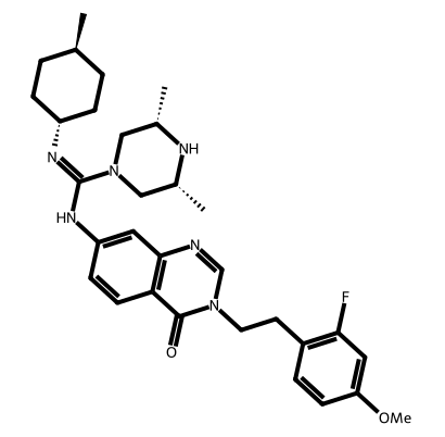 COc1ccc(CCn2cnc3cc(N/C(=N/[C@H]4CC[C@H](C)CC4)N4C[C@@H](C)N[C@@H](C)C4)ccc3c2=O)c(F)c1